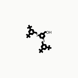 CC(C)(C)c1cc(CSc2cc(CO)cc(SCc3cc(C(C)(C)C)cc(C(C)(C)C)c3)c2)cc(C(C)(C)C)c1